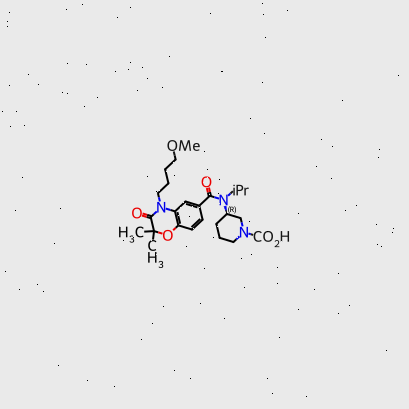 COCCCCN1C(=O)C(C)(C)Oc2ccc(C(=O)N(C(C)C)[C@@H]3CCCN(C(=O)O)C3)cc21